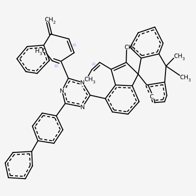 C=C(/C=C\C(=C/C)c1nc(-c2ccc(-c3ccccc3)cc2)nc(-c2cccc3c2C(/C=C\C)=C(C)C32c3ccccc3C(C)(C)c3ccccc32)n1)c1ccccc1